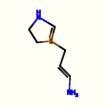 NC=CCS1=CNCC1